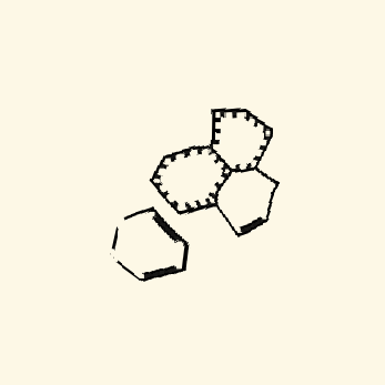 C1=CNOC=C1.C1=Cc2cccc3cccc(c23)C1